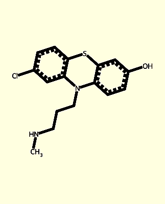 CNCCCN1c2ccc(O)cc2Sc2ccc(Cl)cc21